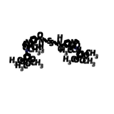 COC1=CC(/C=C/C23OCCN2c2ccc(C(=O)NCCSSCCNC(=O)c4ccc5c(c4)C(C)(C)C4(/C=C/c6cc(OC)c(OC)c(OC)c6)OCCN54)cc2C3(C)C)=CC(OC)C1OC